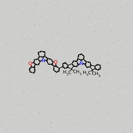 CC1(C)c2ccccc2-c2cc3c4cccc5c6cc7c(cc6n(c3cc21)c45)C(C)(C)c1cc(-c2cccc3c2oc2cc4c5cccc6c8cc9oc%10ccccc%10c9cc8n(c4cc23)c65)ccc1-7